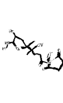 CC(C)NC(=O)C(CC(C)(C)C(C)(C#N)CCC(=O)[N+]1([O-])C(=O)CCC1=O)C(C)C